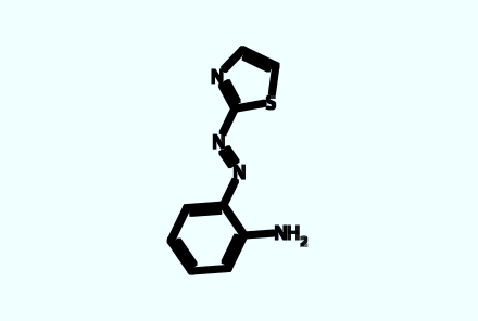 Nc1ccccc1/N=N/c1nccs1